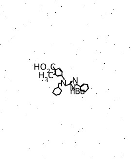 CCCCn1c(CN(Cc2ccc(C(=O)O)c(C)c2)CC2CCCCC2)cnc1-c1ccccc1